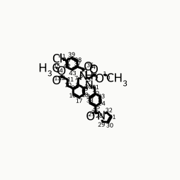 CCOC(=O)CN(Cc1c(CCC(=O)OC)cccc1NCc1ccc(C(=O)N2CC=CC2)cc1)C(=O)c1ccc(Cl)cc1